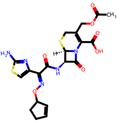 CC(=O)OCC1=C(C(=O)O)N2C(=O)[C@@H](NC(=O)C(=NOC3C=CCC3)c3csc(N)n3)[C@H]2SC1